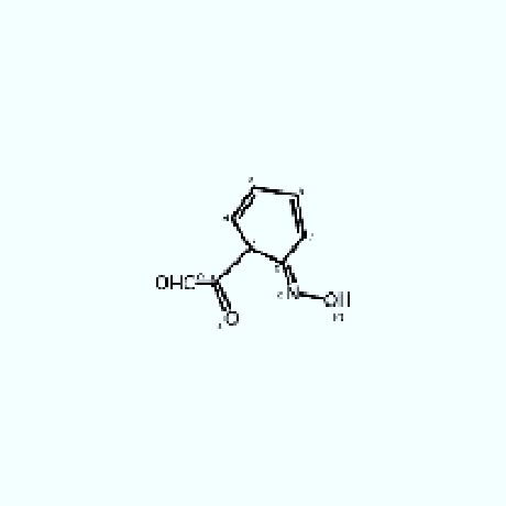 O=CC(=O)C1C=CC=CC1=NO